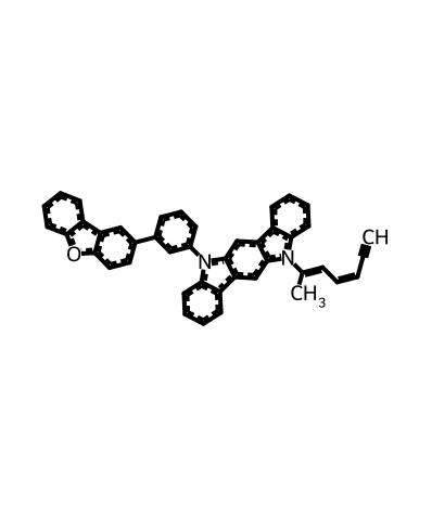 C#C/C=C\C=C(/C)n1c2ccccc2c2cc3c(cc21)c1ccccc1n3-c1cccc(-c2ccc3oc4ccccc4c3c2)c1